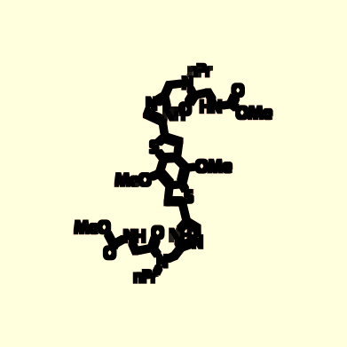 CCCN(Cc1ncc(-c2cc3c(OC)c4sc(-c5cnc(CN(CCC)C(=O)CNC(=O)OC)[nH]5)cc4c(OC)c3s2)[nH]1)C(=O)CNC(=O)OC